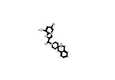 Cc1cc(Br)cn2cc(C(=O)N3CCC4(CC3)Cc3ccccc3CN4)nc12